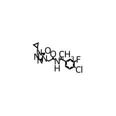 C[C@@H](NC(=O)Cn1nnn(C2CC2)c1=O)c1ccc(Cl)c(F)c1